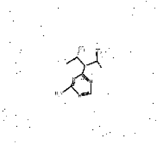 C[C@@H](N(c1ncnc(N)n1)[C@H](C)C(F)(F)F)C(F)(F)F